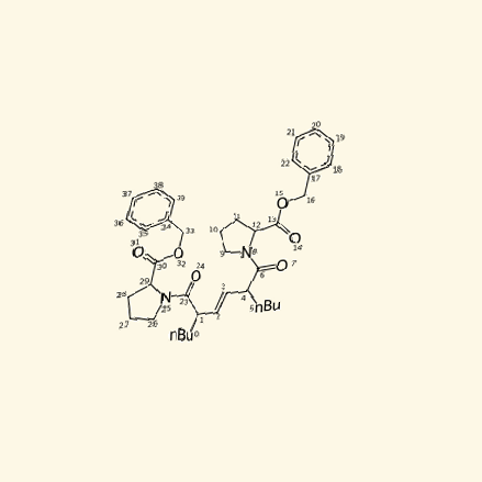 CCCCC(C=CC(CCCC)C(=O)N1CCCC1C(=O)OCc1ccccc1)C(=O)N1CCCC1C(=O)OCc1ccccc1